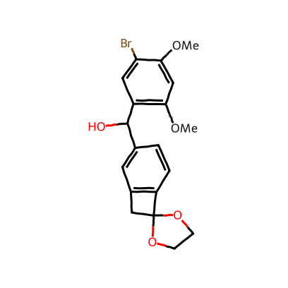 COc1cc(OC)c(C(O)c2ccc3c(c2)CC32OCCO2)cc1Br